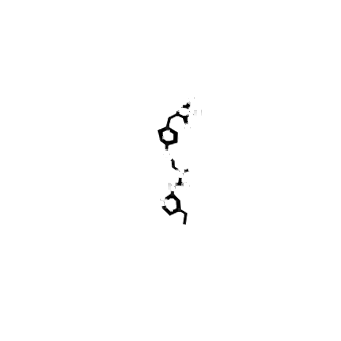 CCc1ccnc(NC(=O)N(C)CCOc2ccc(CC3SC(=O)NC3=O)cc2)c1